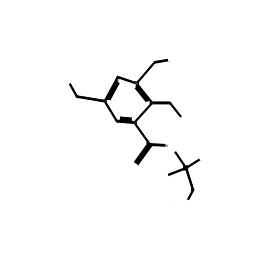 BCc1cc(CB)c(CB)c(C(=O)OC(CS(=O)(=O)O)(C(F)(F)F)C(F)(F)F)c1